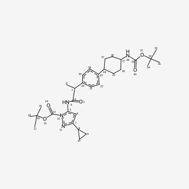 CC(C(=O)Nc1cc(C2CC2)nn1C(=O)OC(C)(C)C)c1ccc(C2CCC(NC(=O)OC(C)(C)C)CC2)cc1